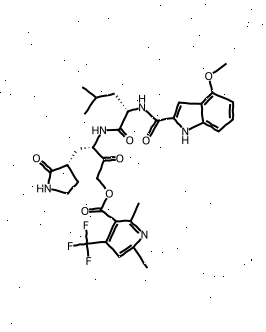 COc1cccc2[nH]c(C(=O)N[C@@H](CC(C)C)C(=O)N[C@@H](C[C@@H]3CCNC3=O)C(=O)COC(=O)c3c(C(F)(F)F)cc(C)nc3C)cc12